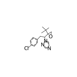 CC(C)(C)C1(C(Cc2ccc(Cl)cc2)n2cncn2)CO1